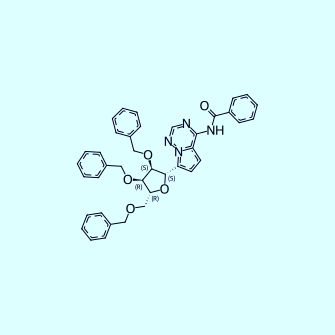 O=C(Nc1ncnn2c([C@@H]3O[C@H](COCc4ccccc4)[C@@H](OCc4ccccc4)[C@H]3OCc3ccccc3)ccc12)c1ccccc1